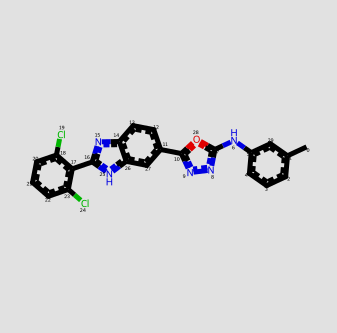 Cc1cccc(Nc2nnc(-c3ccc4nc(-c5c(Cl)cccc5Cl)[nH]c4c3)o2)c1